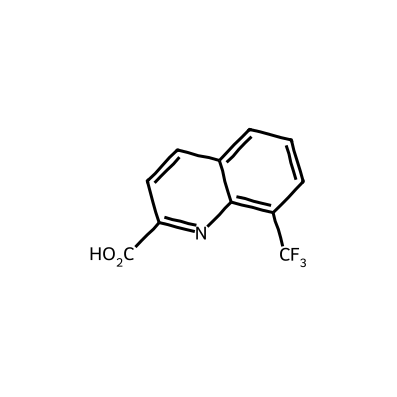 O=C(O)c1ccc2cccc(C(F)(F)F)c2n1